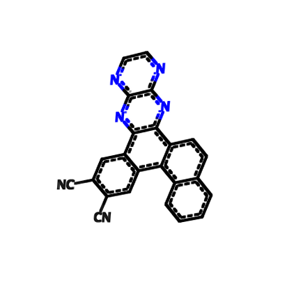 N#Cc1cc2c(cc1C#N)c1c3ccccc3ccc1c1nc3nccnc3nc21